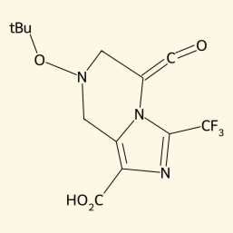 CC(C)(C)ON1CC(=C=O)n2c(C(F)(F)F)nc(C(=O)O)c2C1